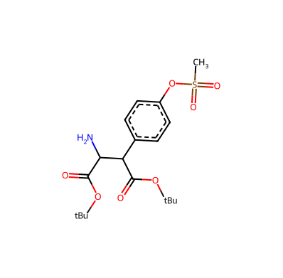 CC(C)(C)OC(=O)C(N)C(C(=O)OC(C)(C)C)c1ccc(OS(C)(=O)=O)cc1